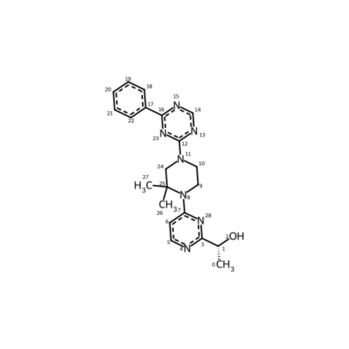 C[C@@H](O)c1nccc(N2CCN(c3ncnc(-c4ccccc4)n3)CC2(C)C)n1